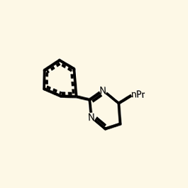 CCCC1CC=NC(c2ccccc2)=N1